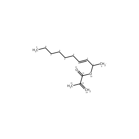 [CH2]C(C=CCCCCCC)OC(=O)C(=C)C